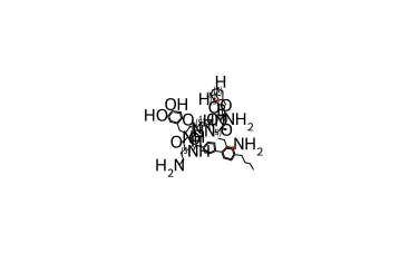 CCCCc1ccc(-c2ccc(C(=O)N[C@@H](CCN)C(=O)NC(Cc3ccc(O)c(O)c3)C(=O)N[C@@H](C)C(=O)N[C@@H](CCCCN)C(=O)N[C@@H](N)B3OC4C[C@@H]5C[C@@H](C5(C)C)[C@]4(C)O3)cc2)cc1